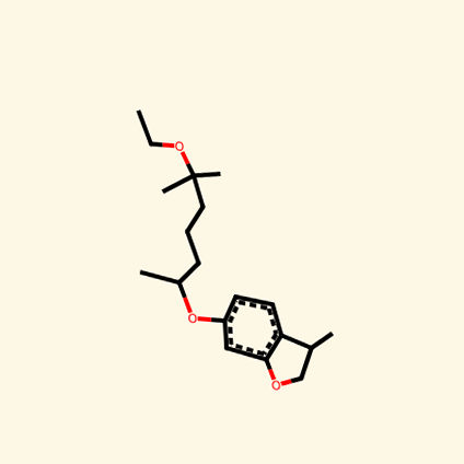 CCOC(C)(C)CCCC(C)Oc1ccc2c(c1)OCC2C